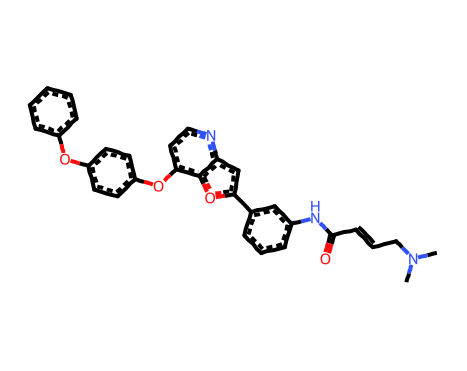 CN(C)CC=CC(=O)Nc1cccc(-c2cc3nccc(Oc4ccc(Oc5ccccc5)cc4)c3o2)c1